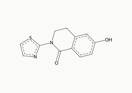 O=C1c2ccc(O)cc2CCN1c1nccs1